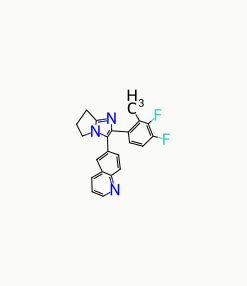 Cc1c(-c2nc3n(c2-c2ccc4ncccc4c2)CCC3)ccc(F)c1F